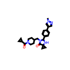 Cn1cc(-c2ccc(C3NC4(CC4)C(=O)N3CC3CCN(C(=O)C4CC4)CC3)cc2)cn1